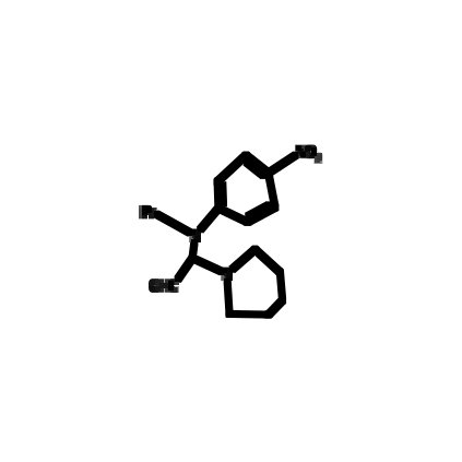 CC(C)N(c1ccc([N+](=O)[O-])cc1)C(C=O)N1CCCCC1